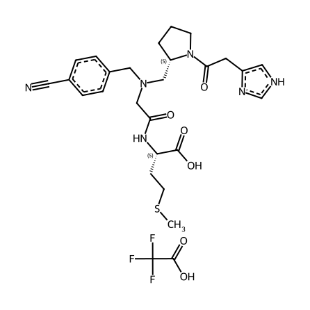 CSCC[C@H](NC(=O)CN(Cc1ccc(C#N)cc1)C[C@@H]1CCCN1C(=O)Cc1c[nH]cn1)C(=O)O.O=C(O)C(F)(F)F